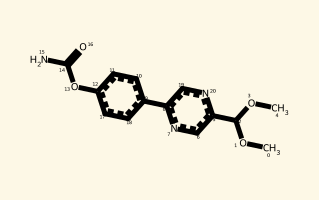 COC(OC)c1cnc(-c2ccc(OC(N)=O)cc2)cn1